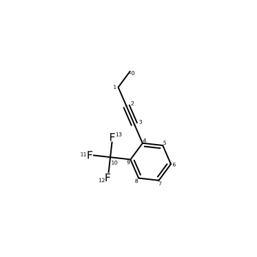 [CH2]CC#Cc1ccccc1C(F)(F)F